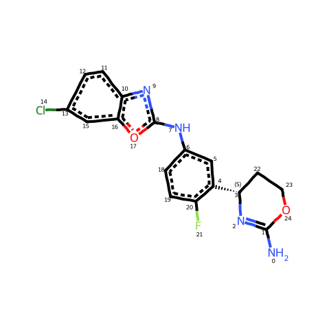 NC1=N[C@H](c2cc(Nc3nc4ccc(Cl)cc4o3)ccc2F)CCO1